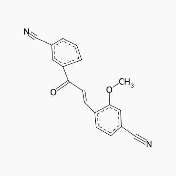 COc1cc(C#N)ccc1C=CC(=O)c1cccc(C#N)c1